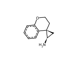 N[C@@H]1C[C@@]12CCOc1ccccc12